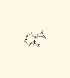 [O-][n+]1ccccc1C1CO1